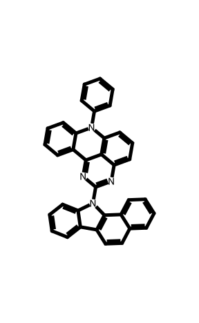 c1ccc(N2c3ccccc3-c3nc(-n4c5ccccc5c5ccc6ccccc6c54)nc4cccc2c34)cc1